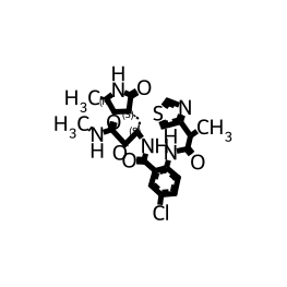 CNC(=O)C(=O)[C@H](C[C@@H]1C[C@@H](C)NC1=O)NC(=O)c1cc(Cl)ccc1NC(=O)C(C)c1cscn1